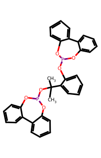 CC(C)(Op1oc2ccccc2c2ccccc2o1)c1ccccc1Op1oc2ccccc2c2ccccc2o1